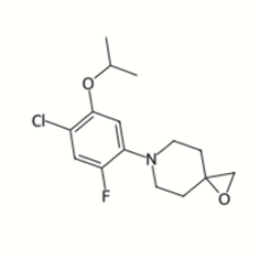 CC(C)Oc1cc(N2CCC3(CC2)CO3)c(F)cc1Cl